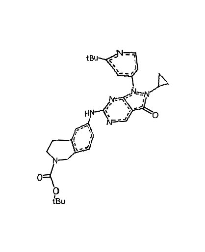 CC(C)(C)OC(=O)N1CCc2cc(Nc3ncc4c(=O)n(C5CC5)n(-c5ccnc(C(C)(C)C)c5)c4n3)ccc2C1